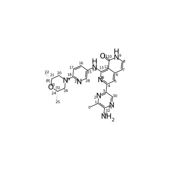 Cc1nc(-c2cc3cc[nH]c(=O)c3c(Nc3ccc(N4C[C@@H](C)O[C@@H](C)C4)nc3)n2)cnc1N